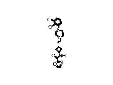 O=C(N[C@H]1C[C@@H](CCN2CCN(c3cccc(Cl)c3Cl)CC2)C1)c1ncco1